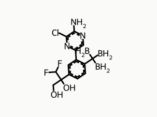 BC(B)(B)c1ccc(C(O)(CO)C(F)F)cc1-c1cnc(N)c(Cl)n1